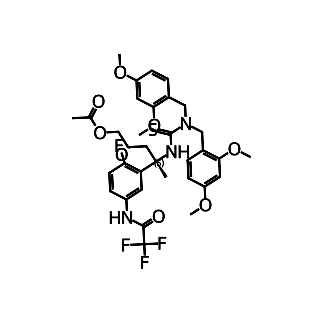 COc1ccc(CN(Cc2ccc(OC)cc2OC)C(=S)N[C@@](C)(CC(=O)COC(C)=O)c2cc(NC(=O)C(F)(F)F)ccc2F)c(OC)c1